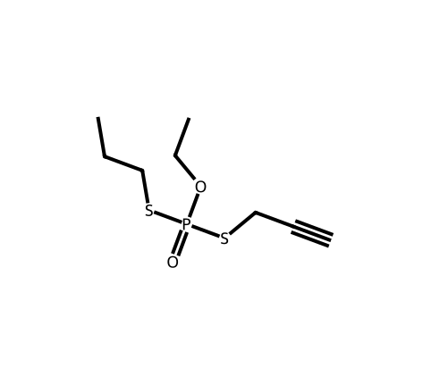 C#CCSP(=O)(OCC)SCCC